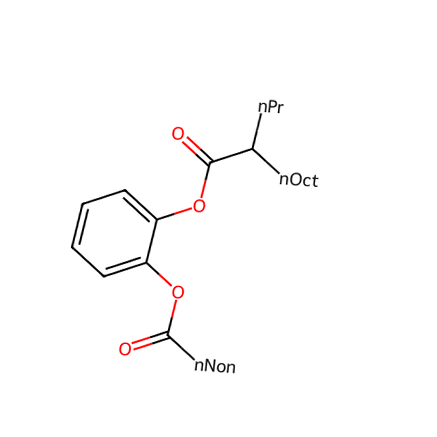 CCCCCCCCCC(=O)Oc1ccccc1OC(=O)C(CCC)CCCCCCCC